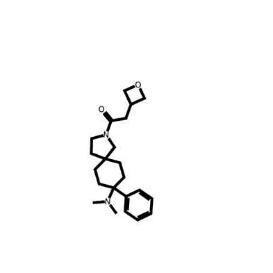 CN(C)C1(c2ccccc2)CCC2(CCN(C(=O)CC3COC3)C2)CC1